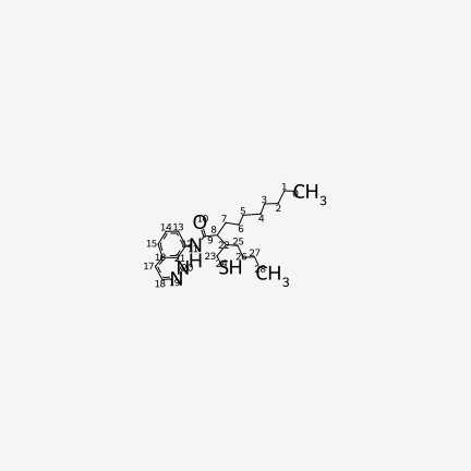 CCCCCCCCC(C(=O)Nc1cccc2ccnnc12)C(CS)CCCC